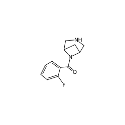 O=C(c1ccccc1F)N1C2CNCC1C2